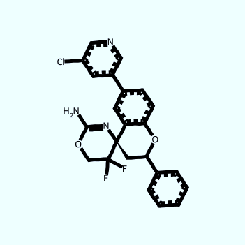 NC1=N[C@@]2(CC(c3ccccc3)Oc3ccc(-c4cncc(Cl)c4)cc32)C(F)(F)CO1